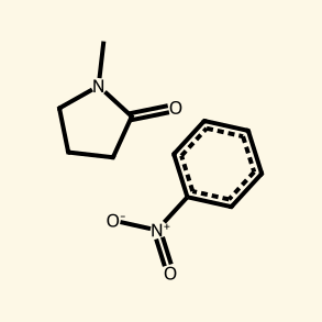 CN1CCCC1=O.O=[N+]([O-])c1ccccc1